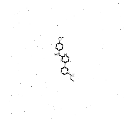 CCNc1cccc(-c2ccnc(Nc3ccc(OC)cc3)n2)c1